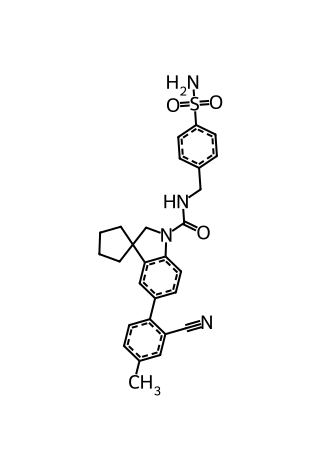 Cc1ccc(-c2ccc3c(c2)C2(CCCC2)CN3C(=O)NCc2ccc(S(N)(=O)=O)cc2)c(C#N)c1